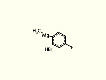 Br.[CH3][Mg][c]1ccc(F)cc1